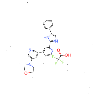 O=C(O)C(F)(F)F.c1ccc(-c2cnc(-c3cc(-c4cncc(N5CCOCC5)c4)ccn3)[nH]2)cc1